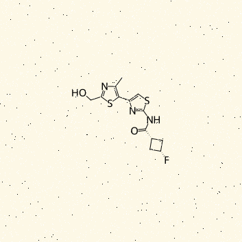 Cc1nc(CO)sc1-c1csc(NC(=O)[C@H]2C[C@@H](F)C2)n1